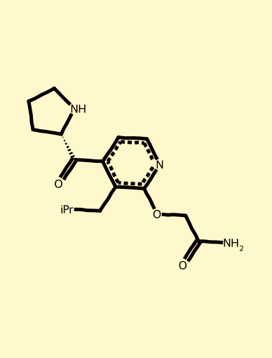 CC(C)Cc1c(C(=O)[C@@H]2CCCN2)ccnc1OCC(N)=O